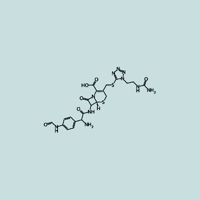 NC(=O)NCCn1nnnc1SCC1=C(C(=O)O)N2C(=O)C(NC(=O)C(N)c3ccc(NC=O)cc3)[C@H]2SC1